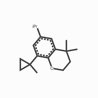 CC(C)c1cc2c(c(C3(C)CC3)c1)OCCC2(C)C